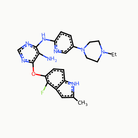 CCN1CCN(c2ccc(Nc3ncnc(Oc4ccc5[nH]c(C)cc5c4F)c3N)nc2)CC1